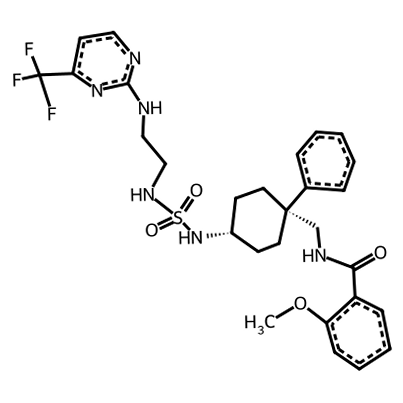 COc1ccccc1C(=O)NC[C@]1(c2ccccc2)CC[C@H](NS(=O)(=O)NCCNc2nccc(C(F)(F)F)n2)CC1